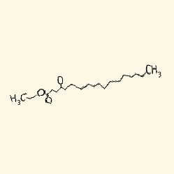 CCCCCCCCCCCCCCC(=O)CCC(=O)OCC